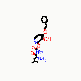 CC(C)C[C@H](N)C(=O)NC(=O)Oc1nccc(OCCC2CCCCC2)c1O